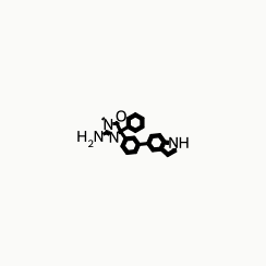 CN1C(=O)C(c2ccccc2)(c2cccc(-c3ccc4[nH]ccc4c3)c2)N=C1N